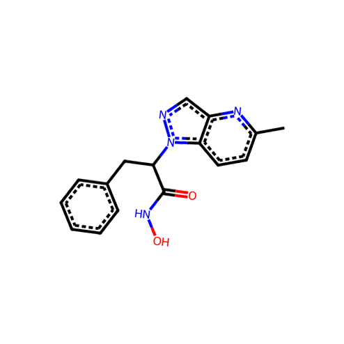 Cc1ccc2c(cnn2C(Cc2ccccc2)C(=O)NO)n1